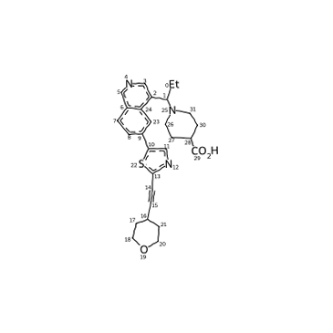 CCC(c1cncc2ccc(-c3cnc(C#CC4CCOCC4)s3)cc12)N1CCC(C(=O)O)CC1